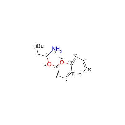 CCC(C)CC(N)OC1=CC=C2CC=CC=C2O1